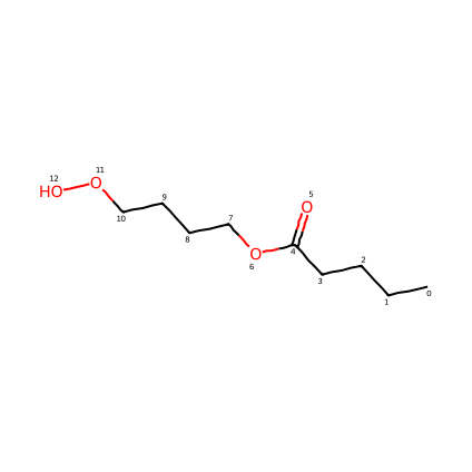 CCCCC(=O)OCCCCOO